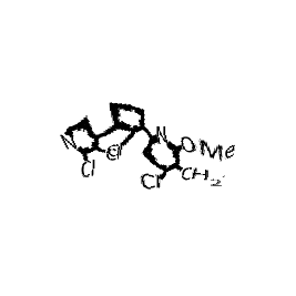 [CH2]c1c(Cl)cc(-c2cccc(-c3ccnc(Cl)c3Cl)c2Cl)nc1OC